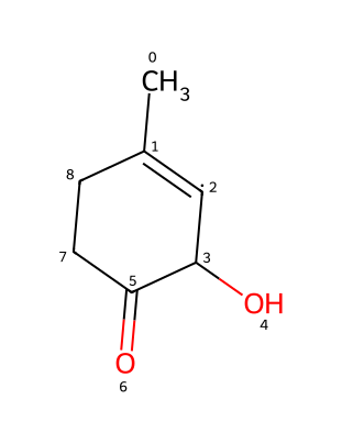 CC1=[C]C(O)C(=O)CC1